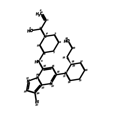 C=CC(O)N1CCCC(Nc2cc(N3CCCC[C@H]3CCO)nc3c(CC)cnn23)C1